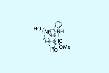 C=CCNC(=O)O.COC(=O)[C@@H]1[C@H]2C[C@H]3c4[nH]c5ccccc5c4CCN3C[C@@H]2CC[C@@H]1O